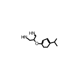 CNCC(C=N)OC1=CC=C(C(C)C)CC1